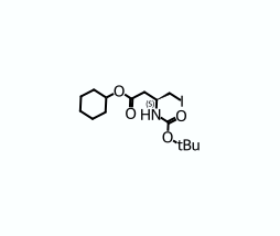 CC(C)(C)OC(=O)N[C@H](CI)CC(=O)OC1CCCCC1